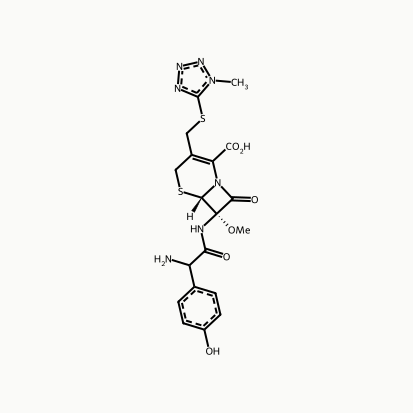 CO[C@@]1(NC(=O)C(N)c2ccc(O)cc2)C(=O)N2C(C(=O)O)=C(CSc3nnnn3C)CS[C@H]21